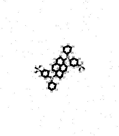 CS(C)(C)c1ccc(N(c2ccccc2)c2ccc3ccc4c(N(c5ccccc5)c5ccc(S(C)(C)C)cc5)ccc5ccc2c3c54)cc1